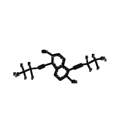 CC(C)(C)c1ccc2c(C#CC(F)(F)C(F)(F)C(F)(F)F)c(C(C)(C)C)ccc2c1C#CC(F)(F)C(F)(F)C(F)(F)F